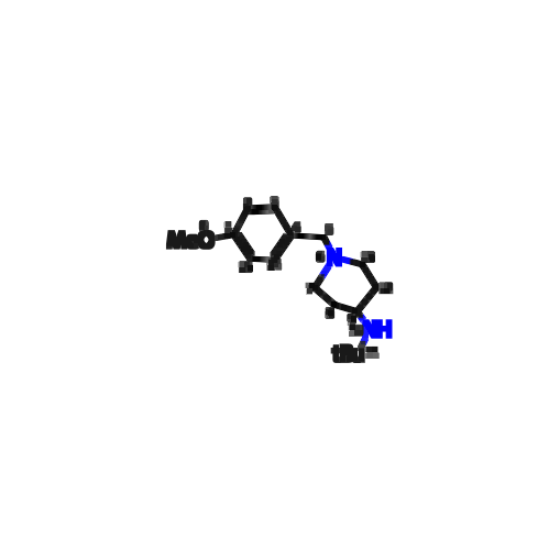 COc1ccc(CN2CCC(NC(C)(C)C)CC2)cc1